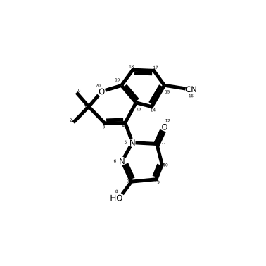 CC1(C)C=C(n2nc(O)ccc2=O)c2cc(C#N)ccc2O1